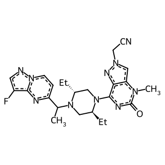 CC[C@H]1CN(C(C)c2ccn3ncc(F)c3n2)[C@H](CC)CN1c1nc(=O)n(C)c2cn(CC#N)nc12